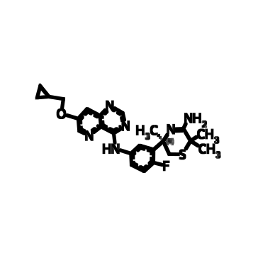 CC1(C)SC[C@@](C)(c2cc(Nc3ncnc4cc(OCC5CC5)cnc34)ccc2F)N=C1N